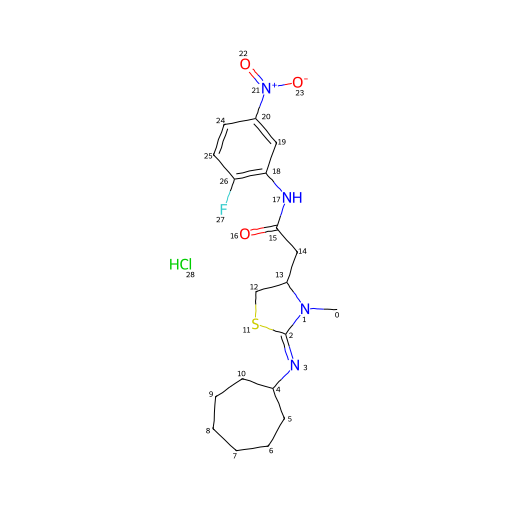 CN1/C(=N/C2CCCCCC2)SCC1CC(=O)Nc1cc([N+](=O)[O-])ccc1F.Cl